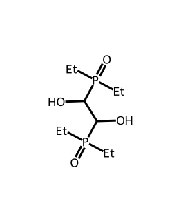 CCP(=O)(CC)C(O)C(O)P(=O)(CC)CC